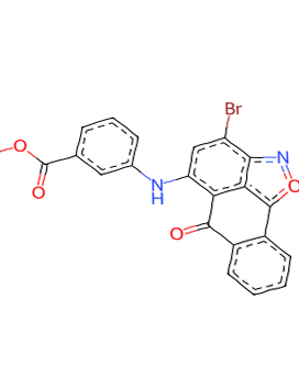 COC(=O)c1cccc(Nc2cc(Br)c3noc4c3c2C(=O)c2ccccc2-4)c1